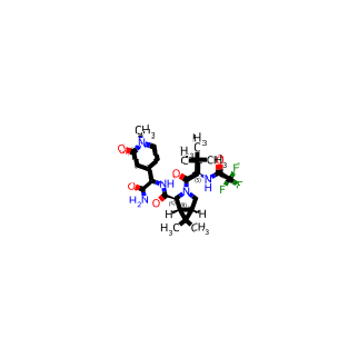 CN1CCC(C(NC(=O)[C@@H]2[C@@H]3[C@H](CN2C(=O)[C@@H](NC(=O)C(F)(F)F)C(C)(C)C)C3(C)C)C(N)=O)CC1=O